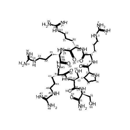 N=C(N)NCCC[C@H](NC(=O)[C@@H]1CCCN1)C(=O)N[C@@H](CCCNC(=N)N)C(=O)N[C@@H](CCCNC(=N)N)C(=O)N[C@@H](CCCNC(=N)N)C(=O)N[C@@H](CO)C(=O)N[C@@H](CO)C(N)=O